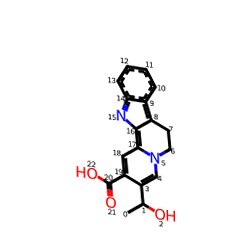 CC(O)C1=CN2CCC3=c4ccccc4=NC3=C2C=C1C(=O)O